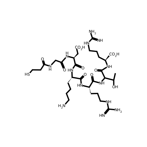 CC(O)C(NC(=O)[C@H](CCCNC(=N)N)NC(=O)[C@H](CCCCN)NC(=O)[C@H](CC(=O)O)NC(=O)CNC(=O)CCS)C(=O)N[C@@H](CCCNC(=N)N)C(=O)O